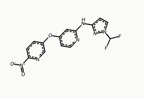 O=[N+]([O-])c1ccc(Oc2ccnc(Nc3ccn(C(F)F)n3)c2)cn1